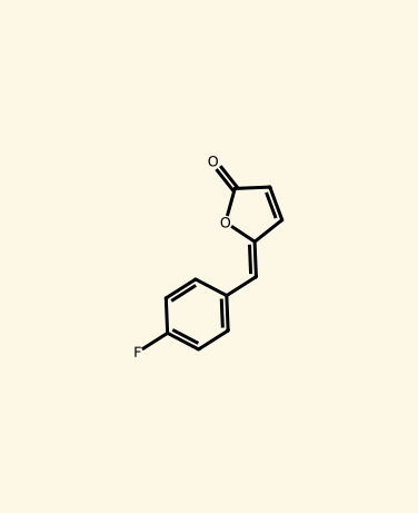 O=C1C=C/C(=C/c2ccc(F)cc2)O1